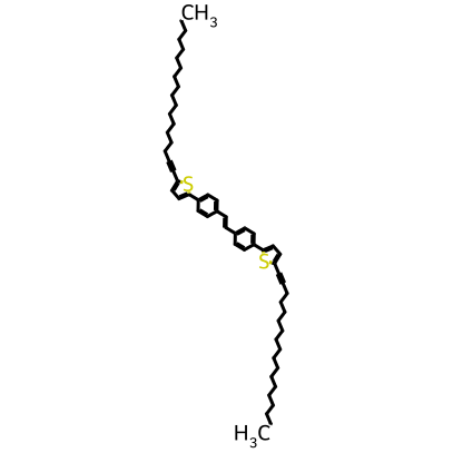 CCCCCCCCCCCCCCCCC#Cc1ccc(-c2ccc(/C=C/c3ccc(-c4ccc(C#CCCCCCCCCCCCCCCCC)s4)cc3)cc2)s1